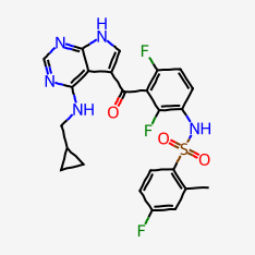 Cc1cc(F)ccc1S(=O)(=O)Nc1ccc(F)c(C(=O)c2c[nH]c3ncnc(NCC4CC4)c23)c1F